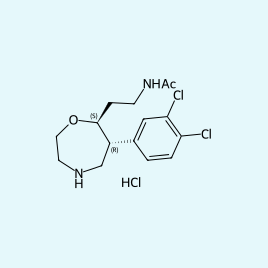 CC(=O)NCC[C@@H]1OCCNC[C@H]1c1ccc(Cl)c(Cl)c1.Cl